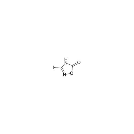 O=c1[nH]c(I)no1